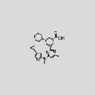 Cc1cc(Nc2ncc(C3CC3)s2)nc(N2C[C@H](C(=O)O)C[C@H](C3CCCCC3)C2)n1